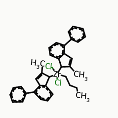 CCC[CH2][Zr]([Cl])([Cl])([CH]1C(C)=Cc2c(-c3ccccc3)cccc21)[CH]1C(C)=Cc2c(-c3ccccc3)cccc21